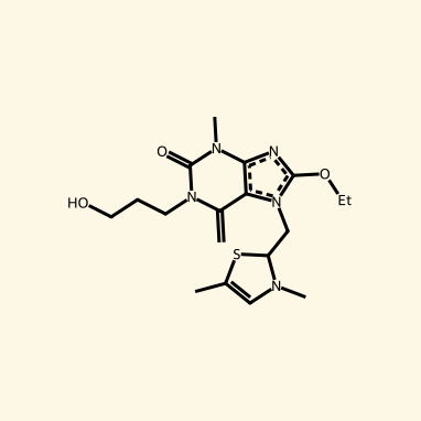 C=C1c2c(nc(OCC)n2CC2SC(C)=CN2C)N(C)C(=O)N1CCCO